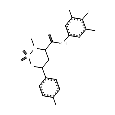 CN1C(C(=O)Nc2cc(F)c(F)c(F)c2)CC(c2ccc(F)cc2)NS1(=O)=O